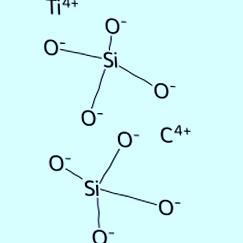 [C+4].[O-][Si]([O-])([O-])[O-].[O-][Si]([O-])([O-])[O-].[Ti+4]